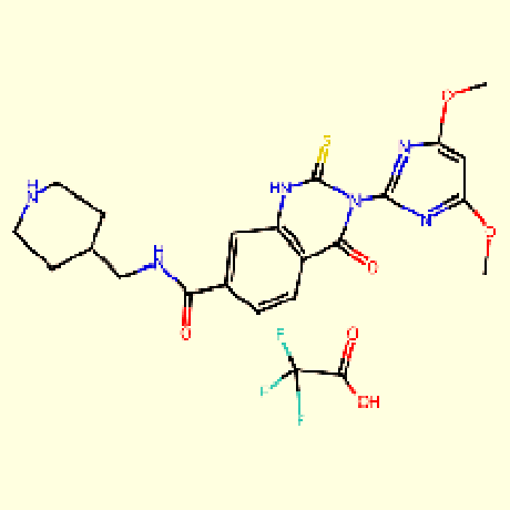 COc1cc(OC)nc(-n2c(=S)[nH]c3cc(C(=O)NCC4CCNCC4)ccc3c2=O)n1.O=C(O)C(F)(F)F